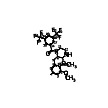 COc1cccc(CC2CNCCN2C(=O)c2cc(C(F)(F)F)cc(C(F)(F)F)c2)c1OC